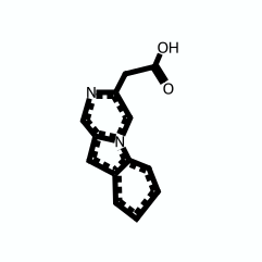 O=C(O)Cc1cn2c(cn1)cc1ccccc12